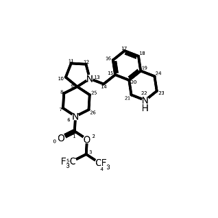 O=C(OC(C(F)(F)F)C(F)(F)F)N1CCC2(CCCN2Cc2cccc3c2CNCC3)CC1